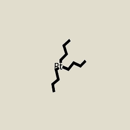 CCC[CH2][Pt]([CH2]CCC)[CH2]CCC